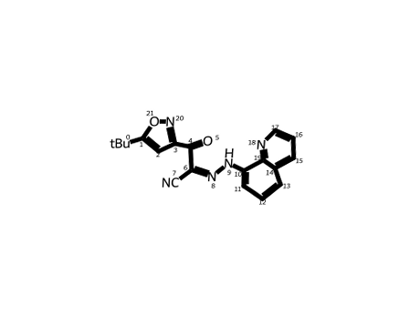 CC(C)(C)c1cc(C(=O)C(C#N)=NNc2cccc3cccnc23)no1